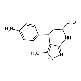 Cc1[nH]nc2c1C(c1ccc(N)cc1)CC(C=O)N2